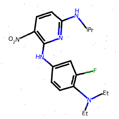 CCN(CC)c1ccc(Nc2nc(NC(C)C)ccc2[N+](=O)[O-])cc1F